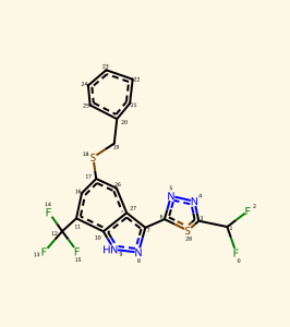 FC(F)c1nnc(-c2n[nH]c3c(C(F)(F)F)cc(SCc4ccccc4)cc23)s1